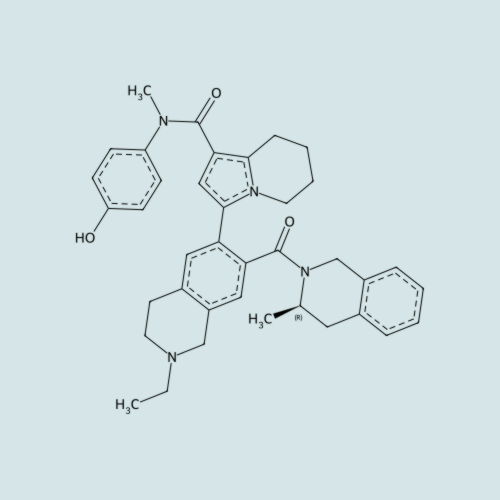 CCN1CCc2cc(-c3cc(C(=O)N(C)c4ccc(O)cc4)c4n3CCCC4)c(C(=O)N3Cc4ccccc4C[C@H]3C)cc2C1